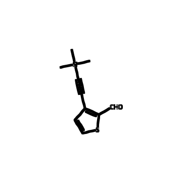 C[Si](C)(C)C#Cc1ccsc1C=O